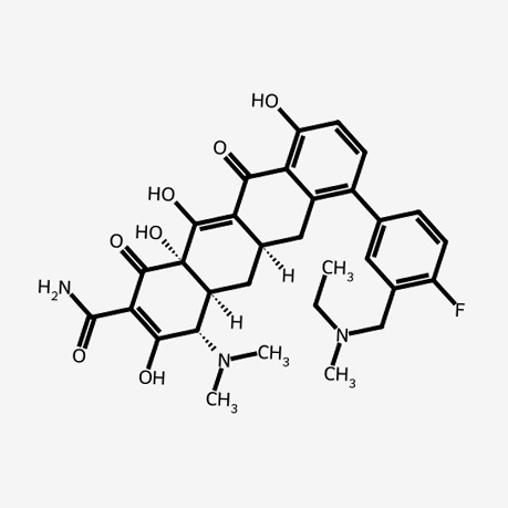 CCN(C)Cc1cc(-c2ccc(O)c3c2C[C@H]2C[C@H]4[C@H](N(C)C)C(O)=C(C(N)=O)C(=O)[C@@]4(O)C(O)=C2C3=O)ccc1F